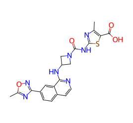 Cc1nc(-c2ccc3ccnc(NC4CN(C(=O)Nc5nc(C)c(C(=O)O)s5)C4)c3c2)no1